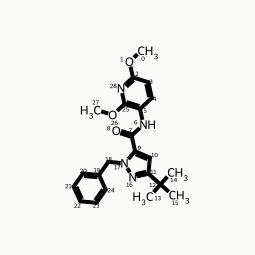 COc1ccc(NC(=O)c2cc(C(C)(C)C)nn2Cc2ccccc2)c(OC)n1